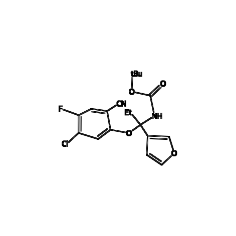 CCC(NC(=O)OC(C)(C)C)(Oc1cc(Cl)c(F)cc1C#N)c1ccoc1